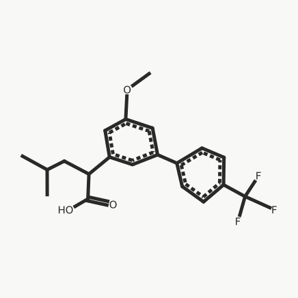 COc1cc(-c2ccc(C(F)(F)F)cc2)cc(C(CC(C)C)C(=O)O)c1